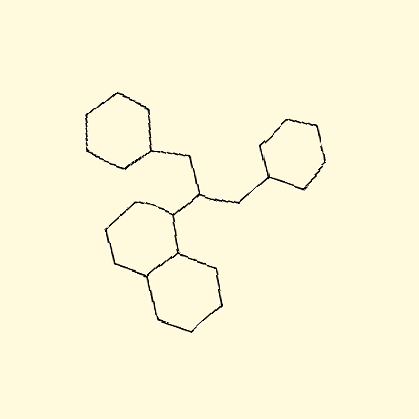 C1CCC(CC(CC2CCCCC2)C2CCCC3CCCCC32)CC1